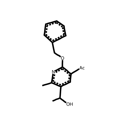 CC(=O)c1cc(C(C)O)c(C)nc1OCc1ccccc1